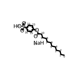 CCCCCCCCCCCC(=O)Oc1ccc(S(=O)(=O)O)cc1.[NaH]